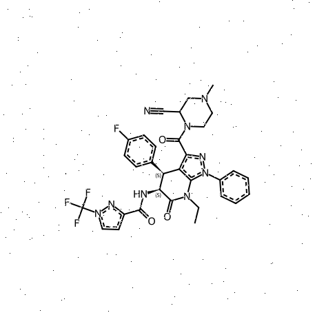 CCN1C(=O)[C@@H](NC(=O)c2ccn(C(F)(F)F)n2)[C@@H](c2ccc(F)cc2)c2c(C(=O)N3CCN(C)CC3C#N)nn(-c3ccccc3)c21